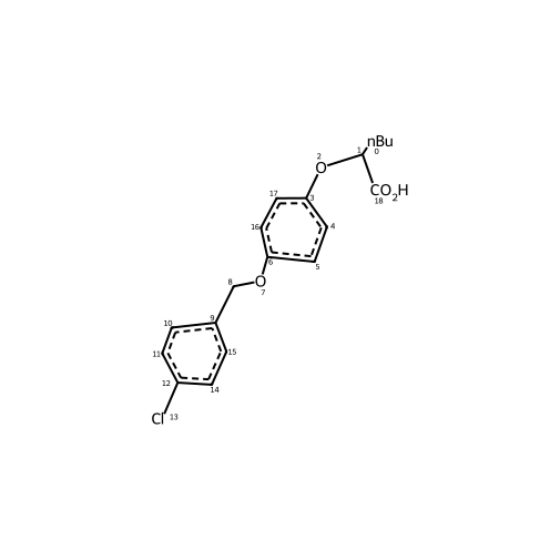 CCCCC(Oc1ccc(OCc2ccc(Cl)cc2)cc1)C(=O)O